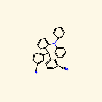 N#Cc1cccc(C2(c3cccc(C#N)c3)c3ccccc3N(c3ccccc3)c3ccccc32)c1